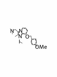 CI.COc1ccc(COc2cccn3c(CN(C)C)c(C)nc23)cc1